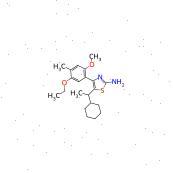 CCOc1cc(-c2nc(N)sc2C(C)C2CCCCC2)c(OC)cc1C